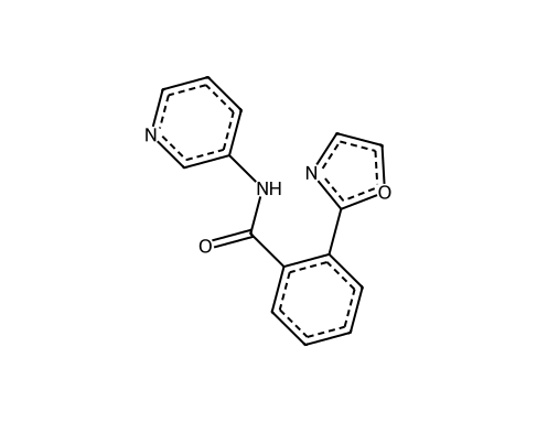 O=C(Nc1cccnc1)c1ccccc1-c1ncco1